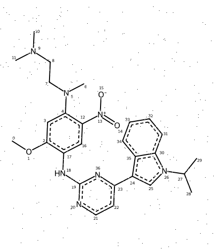 COc1cc(N(C)CCN(C)C)c([N+](=O)[O-])cc1Nc1nccc(-c2cn(C(C)C)c3ccccc23)n1